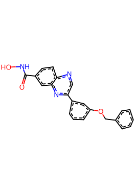 O=C(NO)c1ccc2ncc(-c3cccc(OCc4ccccc4)c3)nc2c1